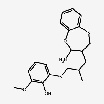 COc1cccc(SCC(C)CC2CSc3ccccc3OC2N)c1O